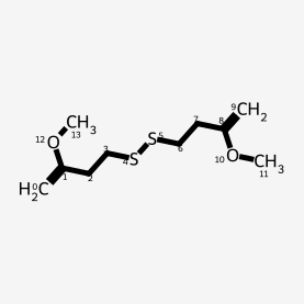 C=C(CCSSCCC(=C)OC)OC